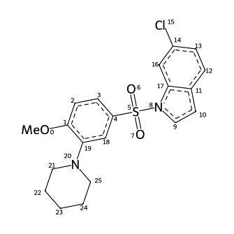 COc1ccc(S(=O)(=O)n2ccc3ccc(Cl)cc32)cc1N1CCCCC1